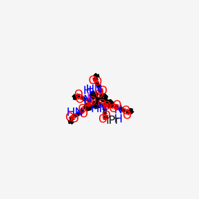 C=C(C)C(=O)OCCNC(=O)Oc1ccc(-c2ccc(OC(=O)NCCOC(=O)C(=C)C)c(C(c3cc(-c4ccc(OC(=O)NCCOC(=O)C(=C)C)cc4)ccc3OC(=O)NCCOC(=O)C(C)C)c3cc(I)cc(I)c3OC(=O)NCCOC(=O)C(=C)C)c2)cc1